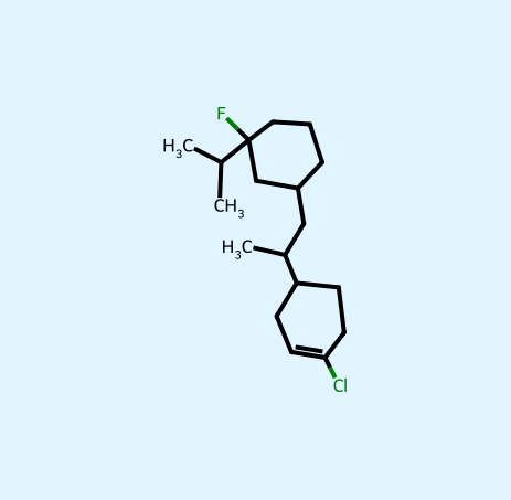 CC(CC1CCCC(F)(C(C)C)C1)C1CC=C(Cl)CC1